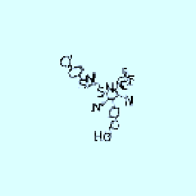 N#Cc1c(SCc2csc(-c3ccc(Cl)cc3)n2)nc(N2CCC(F)(F)CC2)c(C#N)c1-c1ccc(OCCO)cc1